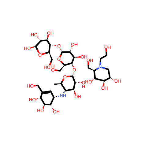 C[C@H]1O[C@H](O[C@H]2[C@H](O)[C@@H](O)[C@@H](O[C@H]3[C@H](O)[C@@H](O)[C@H](O)O[C@@H]3CO)O[C@@H]2CO)[C@H](O)[C@@H](O)[C@@H]1N[C@H]1C=C(CO)[C@@H](O)[C@H](O)[C@H]1O.OCCN1C[C@H](O)[C@@H](O)[C@H](O)[C@H]1CO